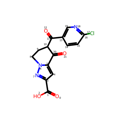 O=C(O)c1cc2n(n1)CCC(C(=O)c1ccc(Cl)nc1)C2=O